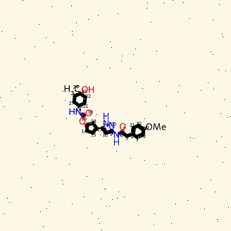 COc1ccc(CC(=O)Nc2cc([C@H]3CCC(OC(=O)N[C@H]4CC[C@@](C)(O)CC4)C3)[nH]n2)cc1